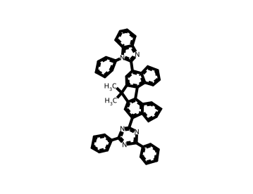 CC1(C)c2cc(-c3nc(-c4ccccc4)nc(-c4ccccc4)n3)c3ccccc3c2-c2c1cc(-c1nc3ccccc3n1-c1ccccc1)c1ccccc21